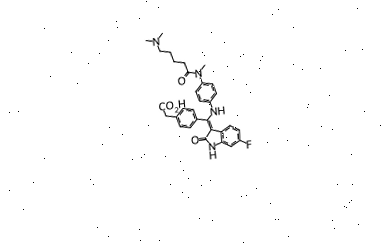 CN(C)CCCCC(=O)N(C)c1ccc(NC(=C2C(=O)Nc3cc(F)ccc32)c2ccc(CC(=O)O)cc2)cc1